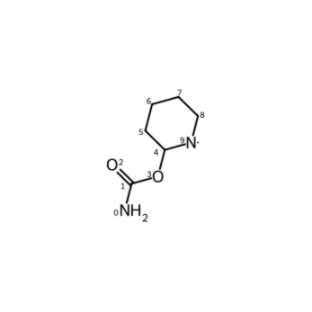 NC(=O)OC1CCCC[N]1